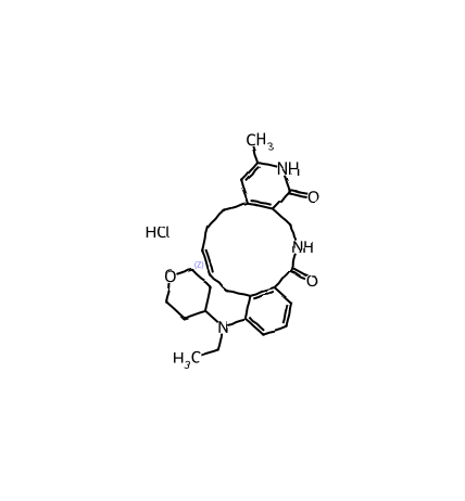 CCN(c1cccc2c1C/C=C\CCc1cc(C)[nH]c(=O)c1CNC2=O)C1CCOCC1.Cl